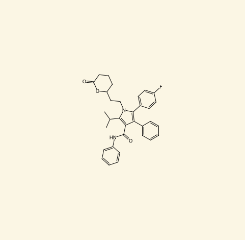 CC(C)c1c(C(=O)Nc2ccccc2)c(-c2ccccc2)c(-c2ccc(F)cc2)n1CCC1CCCC(=O)O1